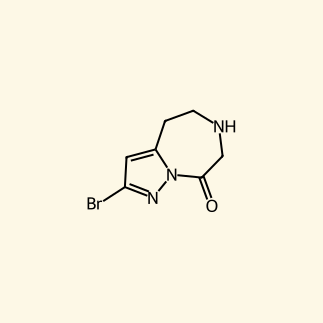 O=C1CNCCc2cc(Br)nn21